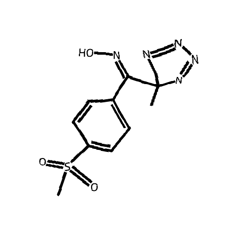 CC1(C(=NO)c2ccc(S(C)(=O)=O)cc2)N=NN=N1